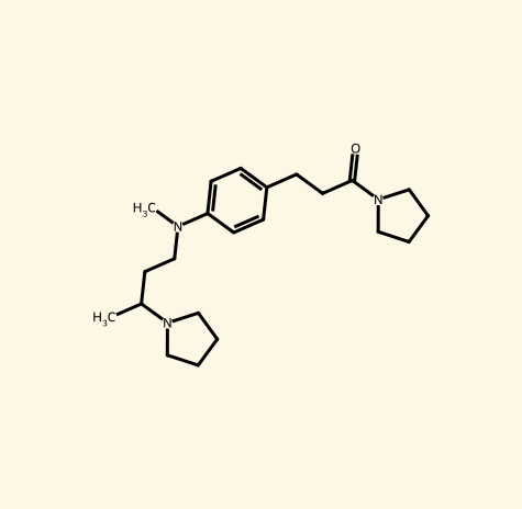 CC(CCN(C)c1ccc(CCC(=O)N2CCCC2)cc1)N1CCCC1